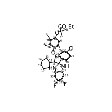 CCOC(=O)C(C)(C)Oc1ccc(OCC(C2CCCCC2)C2(c3ccc(Cl)cc3)Nc3cc(F)c(F)cc3N2)c(C)c1C